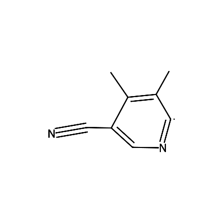 Cc1[c]ncc(C#N)c1C